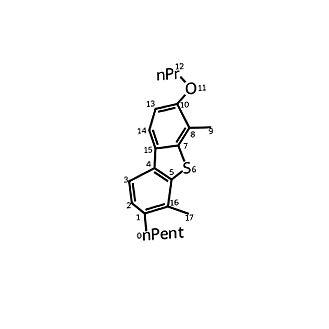 CCCCCc1ccc2c(sc3c(C)c(OCCC)ccc32)c1C